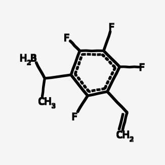 BC(C)c1c(F)c(F)c(F)c(C=C)c1F